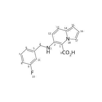 O=C(O)c1c(NCc2cccc(F)c2)ccc2cccn12